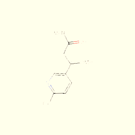 CNC(=O)CC(OC)c1ccc(C(F)(F)F)nc1